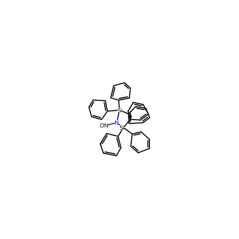 O=NN([Si](c1ccccc1)(c1ccccc1)c1ccccc1)[Si](c1ccccc1)(c1ccccc1)c1ccccc1